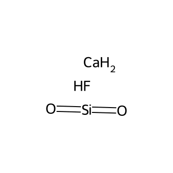 F.O=[Si]=O.[CaH2]